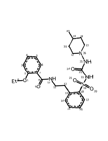 CCOc1ccccc1C(=O)NCCc1ccccc1S(=O)(=O)NC(=O)NN1CCC(C)CC1